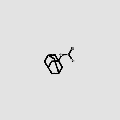 C[CH2][Ti]([CH2]C)[NH]C12CC3CC(CC(C3)C1)C2